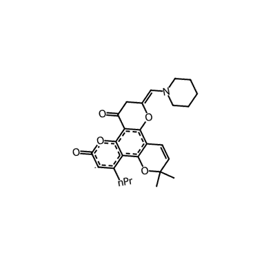 CCCc1[c]c(=O)oc2c3c(c4c(c12)OC(C)(C)C=C4)OC(=CN1CCCCC1)CC3=O